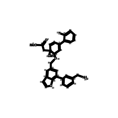 COC(=O)CC1(OC)C=CC(c2ccccc2F)=CC1OCc1cc(-c2cccc(CN)c2)c2occc2c1